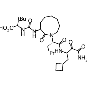 CC(C)C[C@@H](C(=O)NC(CC1CCC1)C(=O)C(N)=O)N1CCCCCC[C@H](NC(=O)NC(C(=O)O)C(C)(C)C)C1=O